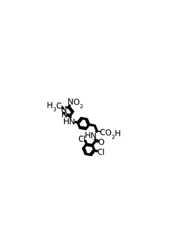 Cn1nc(Nc2ccc(C[C@H](NC(=O)c3c(Cl)cccc3Cl)C(=O)O)cc2)cc1[N+](=O)[O-]